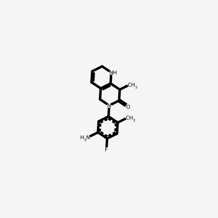 Cc1cc(F)c(N)cc1N1CC2=C(NCC=C2)C(C)C1=O